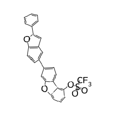 O=S(=O)(Oc1cccc2oc3cc(-c4ccc5oc(-c6ccccc6)cc5c4)ccc3c12)C(F)(F)F